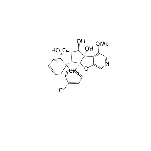 COc1cncc2c1[C@]1(O)[C@H](O)[C@H](C(=O)O)[C@@H](C3(C)C=CC=CC3)[C@]1(c1ccc(Cl)cc1)O2